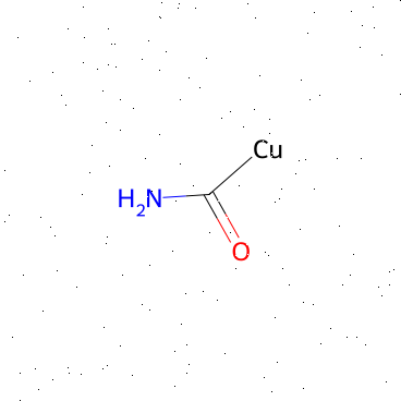 N[C](=O)[Cu]